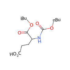 CCCCOC(=O)NC(CCC(=O)O)C(=O)OC(C)CC